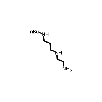 CCCCNCCCNCCN